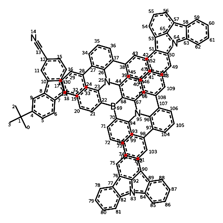 CC(C)(C)c1ccc2c(c1)c1cc(C#N)ccc1n2-c1ccc2c(c1)N(c1c(-c3ccccc3)cccc1-c1ccccc1)c1cc(-c3ccc4c(c3)c3cccc5c6ccccc6n4c53)cc3c1B2c1ccc(-c2cc4c5ccccc5n5c6ccccc6c(c2)c45)cc1N3c1c(-c2ccccc2)cccc1-c1ccccc1